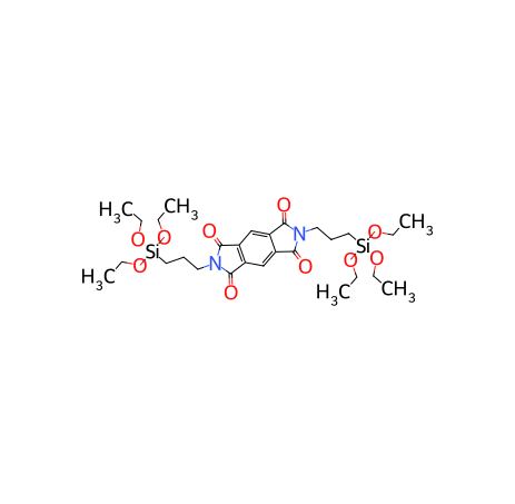 CCO[Si](CCCn1c(=O)c2cc3c(=O)n(CCC[Si](OCC)(OCC)OCC)c(=O)c3cc2c1=O)(OCC)OCC